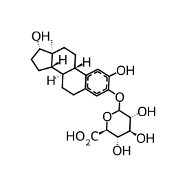 C[C@]12CC[C@@H]3c4cc(O)c(OC5O[C@H](C(=O)O)[C@@H](O)[C@H](O)[C@H]5O)cc4CC[C@H]3[C@@H]1CC[C@@H]2O